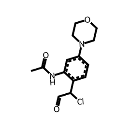 CC(=O)Nc1cc(N2CCOCC2)ccc1C(Cl)C=O